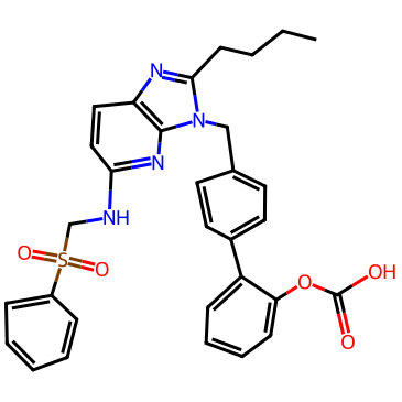 CCCCc1nc2ccc(NCS(=O)(=O)c3ccccc3)nc2n1Cc1ccc(-c2ccccc2OC(=O)O)cc1